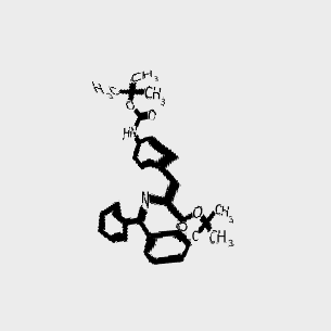 CC(C)(C)OC(=O)Nc1ccc(CC(N=C(c2ccccc2)c2ccccc2)C(=O)OC(C)(C)C)cc1